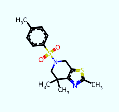 Cc1ccc(S(=O)(=O)N2Cc3sc(C)nc3C(C)(C)C2)cc1